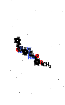 CCOc1cccc(C(=O)NCCn2cnc3cc(-c4noc(CCC5CCCC5)n4)ccc32)c1